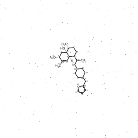 CC(=O)O[C@@H]1[CH][C@@]2(O)[C@H](C)CC[C@@H](C(C)CN3CCC(Cc4ccco4)CC3)[C@H]2C=C1C